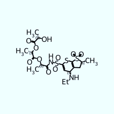 CCN[C@H]1C=C(S(=O)(=O)NC(=O)[C@H](C)OC(=O)[C@H](C)OC(=O)[C@H](C)O)SC2=C1C[C@H](C)S2(=O)=O